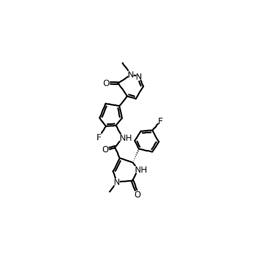 CN1C=C(C(=O)Nc2cc(-c3ccnn(C)c3=O)ccc2F)[C@H](c2ccc(F)cc2)NC1=O